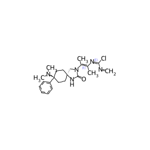 C=N/C(Cl)=N\C(C)=C(/C)N1C[C@]2(CC[C@](c3ccccc3)(N(C)C)CC2)NC1=O